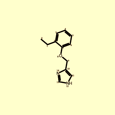 CCc1ccccc1OCc1c[nH]cn1